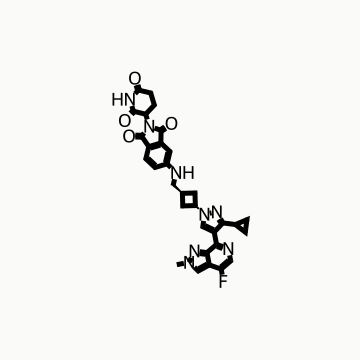 Cn1cc2c(F)cnc(-c3cn([C@H]4C[C@H](CNc5ccc6c(c5)C(=O)N(C5CCC(=O)NC5=O)C6=O)C4)nc3C3CC3)c2n1